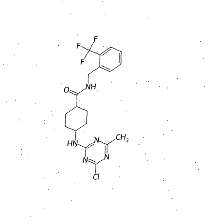 Cc1nc(Cl)nc(NC2CCC(C(=O)NCc3ccccc3C(F)(F)F)CC2)n1